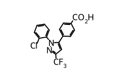 O=C(O)c1ccc(-c2cc(C(F)(F)F)nn2-c2ccccc2Cl)cc1